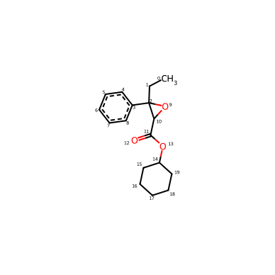 CCC1(c2ccccc2)OC1C(=O)OC1CCCCC1